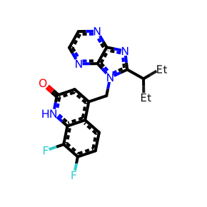 CCC(CC)c1nc2nccnc2n1Cc1cc(=O)[nH]c2c(F)c(F)ccc12